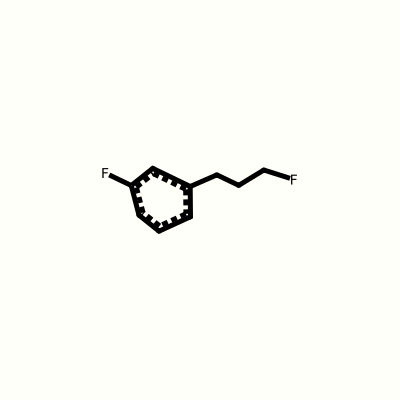 FCCCc1cccc(F)c1